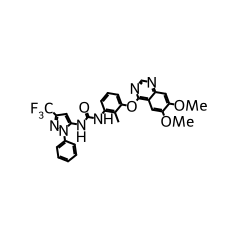 COc1cc2ncnc(Oc3cccc(NC(=O)Nc4cc(C(F)(F)F)nn4-c4ccccc4)c3C)c2cc1OC